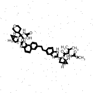 COC(=O)N[C@H](C(=O)N1[C@@H]2C[C@@H]2C[C@H]1c1nc2cc(CCc3ccc4c(ccc5nc([C@@H]6C[C@H]7C[C@H]7N6[C@@](C=O)(NC(=O)O)C6CCOCC6)[nH]c54)c3)ccc2[nH]1)C(C)C